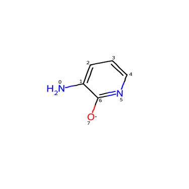 Nc1cccnc1[O]